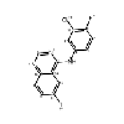 Fc1ccc(Nc2ncnc3ccc(I)cc23)cc1Cl